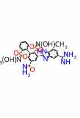 CN(O)S(=O)(=O)c1ccccc1-c1cc(C(N)=O)cc(-c2nc3cc(C(=N)N)ccc3[nH]2)c1S(=O)(=O)N(C)O